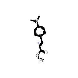 CC(C)OC(=O)/C=C/c1ccc(N(C)C)cc1